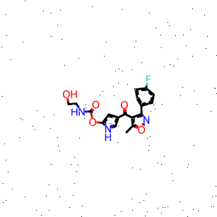 Cc1onc(-c2ccc(F)cc2)c1C(=O)c1c[nH]c(OC(=O)NCCO)c1